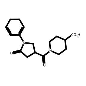 O=C(O)C1CCN(C(=O)C2CC(=O)N(C3=CCCC=C3)C2)CC1